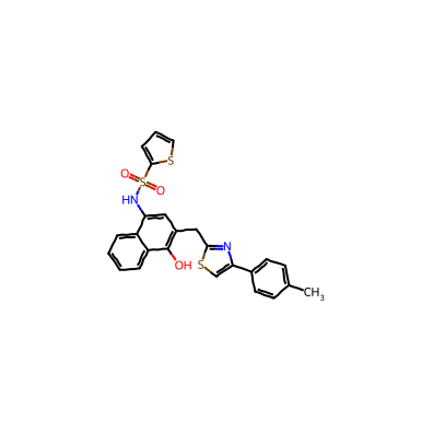 Cc1ccc(-c2csc(Cc3cc(NS(=O)(=O)c4cccs4)c4ccccc4c3O)n2)cc1